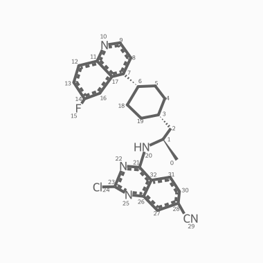 C[C@H](C[C@H]1CC[C@@H](c2ccnc3ccc(F)cc32)CC1)Nc1nc(Cl)nc2cc(C#N)ccc12